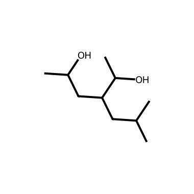 CC(C)CC(CC(C)O)C(C)O